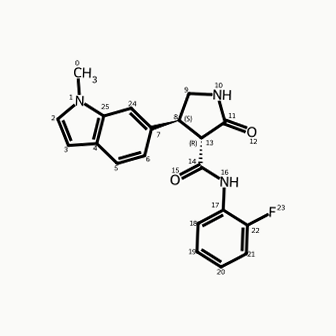 Cn1ccc2ccc([C@H]3CNC(=O)[C@@H]3C(=O)Nc3ccccc3F)cc21